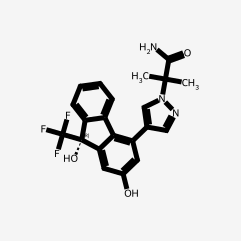 CC(C)(C(N)=O)n1cc(-c2cc(O)cc3c2-c2ccccc2[C@]3(O)C(F)(F)F)cn1